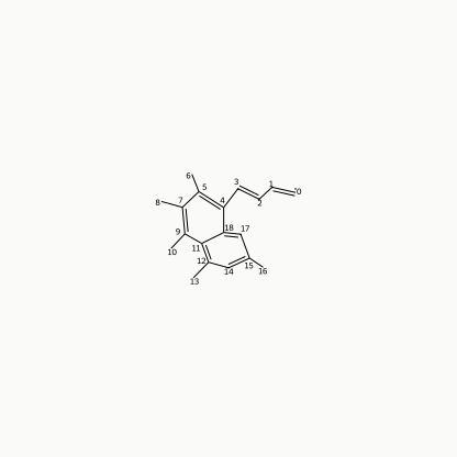 [CH]=CC=Cc1c(C)c(C)c(C)c2c(C)cc(C)cc12